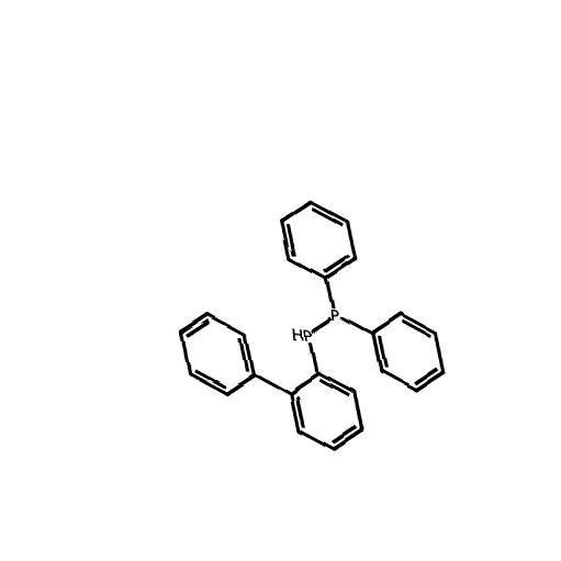 c1ccc(-c2ccccc2PP(c2ccccc2)c2ccccc2)cc1